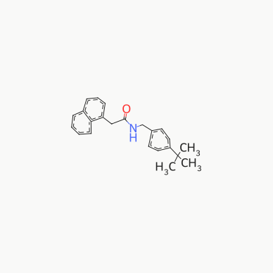 CC(C)(C)c1ccc(CNC(=O)Cc2cccc3ccccc23)cc1